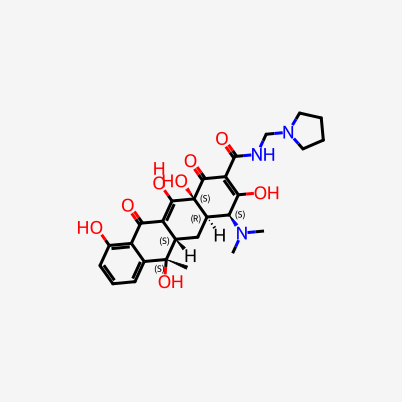 CN(C)[C@@H]1C(O)=C(C(=O)NCN2CCCC2)C(=O)[C@@]2(O)C(O)=C3C(=O)c4c(O)cccc4[C@@](C)(O)[C@H]3C[C@H]12